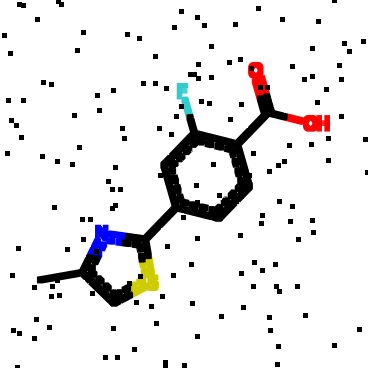 Cc1csc(-c2ccc(C(=O)O)c(F)c2)n1